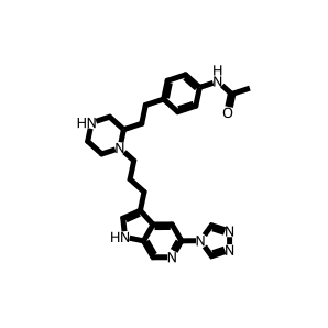 CC(=O)Nc1ccc(CCC2CNCCN2CCCc2c[nH]c3cnc(-n4cnnc4)cc23)cc1